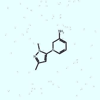 Cc1cc(N2C=CC=C(N)C2)n(C)n1